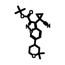 CC(C)(C)OC(=O)c1nn2cc(C3CCOC(C)(C)C3)ccc2c1C1(C#N)CC1